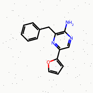 Nc1ncc(-c2ccco2)nc1Cc1ccccc1